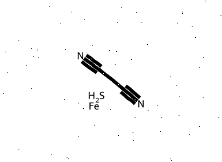 N#CC#N.S.[Fe]